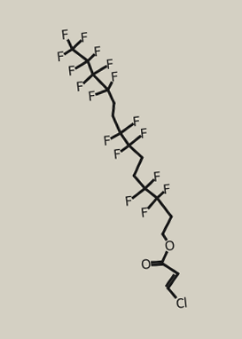 O=C(C=CCl)OCCC(F)(F)C(F)(F)CCC(F)(F)C(F)(F)CCC(F)(F)C(F)(F)C(F)(F)C(F)(F)F